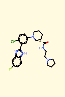 O=C(NCCN1CCCC1)[C@H]1CCCN(c2ccc(Cl)c(-c3nc4cc(F)ccc4[nH]3)c2)C1